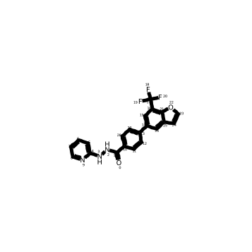 O=C(NNc1ccccn1)c1ccc(-c2cc(C(F)(F)F)c3occc3c2)cc1